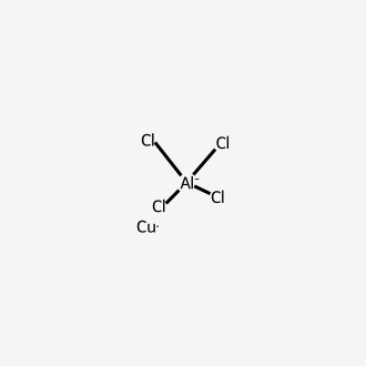 [Cl][Al-]([Cl])([Cl])[Cl].[Cu]